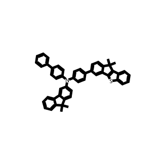 CC1(C)c2ccccc2-c2cc(N(c3ccc(-c4ccccc4)cc3)c3ccc(-c4ccc5c(c4)-c4sc6ccccc6c4C5(C)C)cc3)ccc21